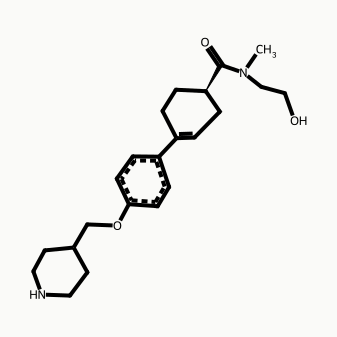 CN(CCO)C(=O)[C@H]1CC=C(c2ccc(OCC3CCNCC3)cc2)CC1